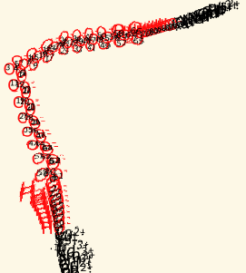 O.O.O.O=C([O-])[O-].O=C([O-])[O-].O=C([O-])[O-].O=C([O-])[O-].O=C([O-])[O-].O=C([O-])[O-].O=C([O-])[O-].O=C([O-])[O-].O=C([O-])[O-].O=C([O-])[O-].O=C([O-])[O-].O=C([O-])[O-].O=C([O-])[O-].O=C([O-])[O-].O=C([O-])[O-].O=C([O-])[O-].[Cu+2].[Cu+2].[Cu+2].[Gd+3].[Gd+3].[Gd+3].[Nd+3].[Nd+3].[Nd+3].[OH-].[OH-].[OH-].[OH-].[OH-].[OH-].[OH-].[OH-].[OH-].[OH-].[OH-].[OH-].[OH-].[OH-].[OH-].[OH-].[Pb+2].[Pb+2].[Pb+2].[Sm+3].[Sm+3].[Sm+3].[Y+3].[Y+3].[Y+3]